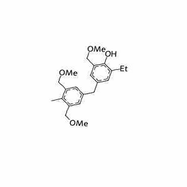 CCc1cc(Cc2cc(COC)c(C)c(COC)c2)cc(COC)c1O